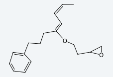 C/C=C\C=C(/CCCc1ccccc1)OCCC1CO1